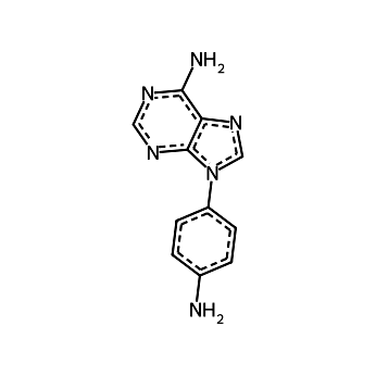 Nc1ccc(-n2cnc3c(N)ncnc32)cc1